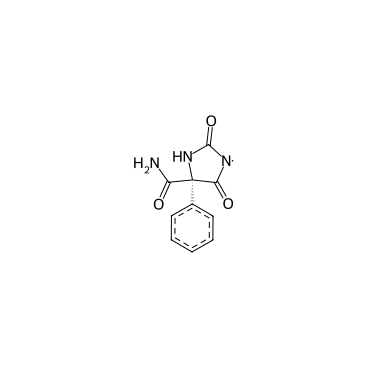 NC(=O)[C@@]1(c2ccccc2)NC(=O)[N]C1=O